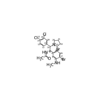 CNc1cc([C@H](NC(C)=O)C(c2ccc(Cl)c(Cl)c2)N2CCCC2)c(Br)cc1Br